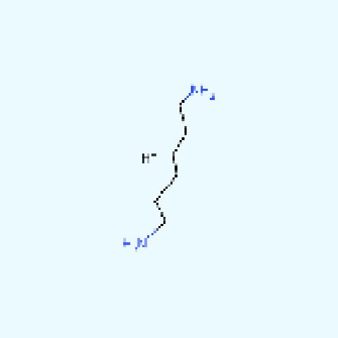 NCCCCCCN.[H+]